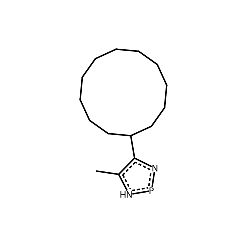 Cc1[nH]pnc1C1CCCCCCCCCCC1